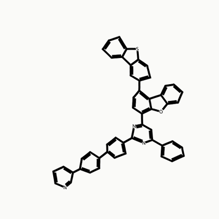 c1ccc(-c2cc(-c3ccc(-c4ccc5sc6ccccc6c5c4)c4c3oc3ccccc34)nc(-c3ccc(-c4ccc(-c5cccnc5)cc4)cc3)n2)cc1